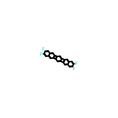 Fc1cc2cc3c(cc2cc1F)c1cc2c4cc5cc(F)c(F)cc5cc4c2cc31